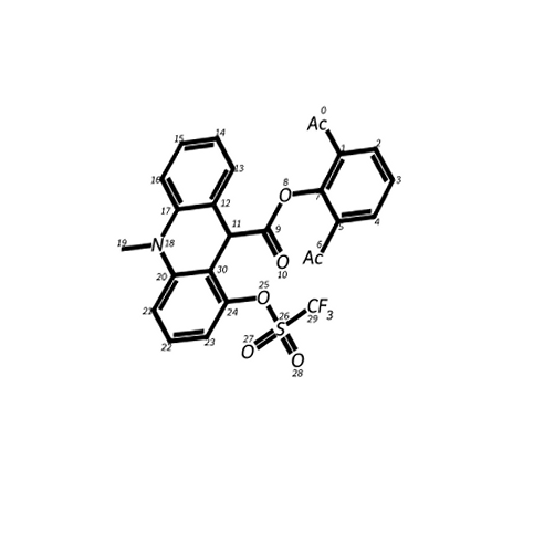 CC(=O)c1cccc(C(C)=O)c1OC(=O)C1c2ccccc2N(C)c2cccc(OS(=O)(=O)C(F)(F)F)c21